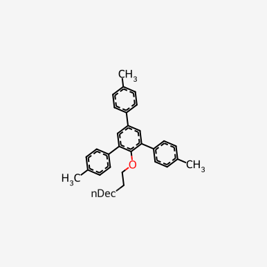 CCCCCCCCCCCCOc1c(-c2ccc(C)cc2)cc(-c2ccc(C)cc2)cc1-c1ccc(C)cc1